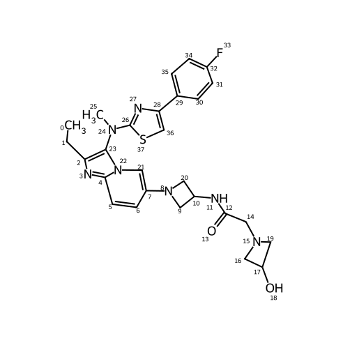 CCc1nc2ccc(N3CC(NC(=O)CN4CC(O)C4)C3)cn2c1N(C)c1nc(-c2ccc(F)cc2)cs1